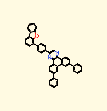 c1ccc(-c2ccc3c(c2)c2cc(-c4ccccc4)ccc2c2nc(-c4ccc(-c5cccc6c5oc5ccccc56)cc4)cnc32)cc1